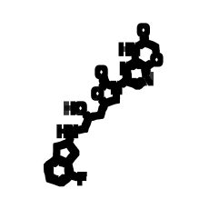 O=C1COc2ncc(N3CC(CC(O)CNC4Cc5cccc(F)c5C4)OC3=O)nc2N1